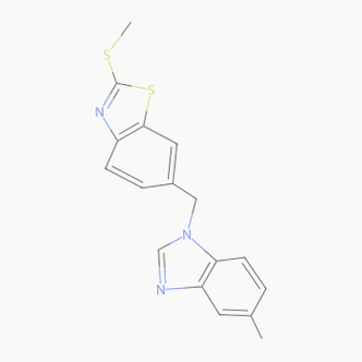 CSc1nc2ccc(Cn3cnc4cc(C)ccc43)cc2s1